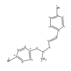 CC(CC=Cc1ccc(C(C)C)cc1)Cc1ccc(C(C)C)cc1